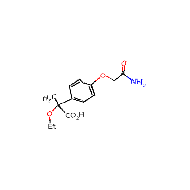 CCOC(C)(C(=O)O)c1ccc(OCC(N)=O)cc1